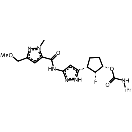 COCc1cc(C(=O)Nc2cc([C@@H]3CC[C@H](OC(=O)NC(C)C)[C@@H]3F)[nH]n2)n(C)n1